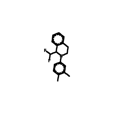 Cc1ccc(N2CCc3ccccc3C2C(F)F)cc1C